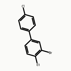 CCc1ccc(-c2ccc(Cl)cc2)cc1Br